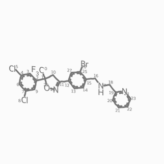 FC(F)(F)C1(c2cc(Cl)cc(Cl)c2)CC(c2ccc(CNCc3ccccn3)c(Br)c2)=NO1